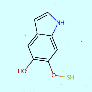 Oc1cc2cc[nH]c2cc1OS